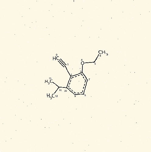 C#Cc1c(OCC)cccc1[C](C)C